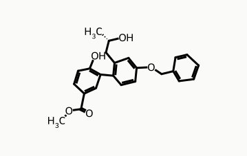 COC(=O)c1ccc(O)c(-c2ccc(OCc3ccccc3)cc2C[C@H](C)O)c1